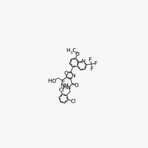 COc1ccc(-c2nc(C(=O)NCc3c(Cl)cccc3Cl)c([C@@H](N)CO)o2)c2ccc(C(F)(F)F)nc12